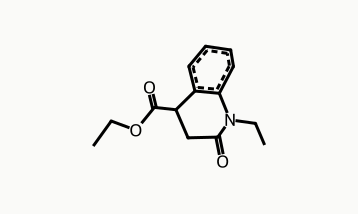 CCOC(=O)C1CC(=O)N(CC)c2ccccc21